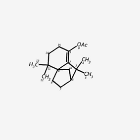 CC(=O)OC1=C2C(C)(C)C3CCC2(C3)C(C)(C)CC1